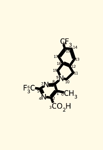 Cc1c(C(=O)O)nc(C(F)(F)F)nc1N1CCc2ccc(C(F)(F)F)cc2C1